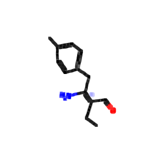 CC/C(C=O)=C(\N)Cc1ccc(C)cc1